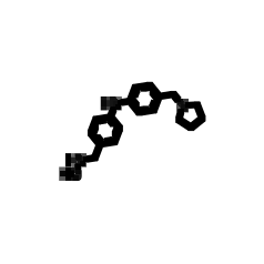 ONCc1ccc(Nc2ccc(CN3CCCC3)cc2)cc1